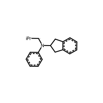 CC(C)[CH]N(c1ccccc1)C1Cc2ccccc2C1